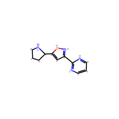 c1cnc(-c2cc(C3CCCN3)on2)nc1